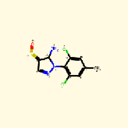 Cc1cc(Cl)c(N2N=CC(=S=O)C2N)c(Cl)c1